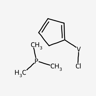 CP(C)C.[Cl][V][C]1=CC=CC1